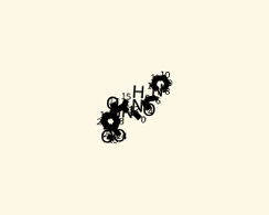 CC(NC(=O)CCN1CCCCC1)NC(C)C(=O)c1ccc2c(c1)OCO2